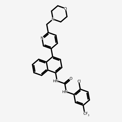 O=C(Nc1cc(C(F)(F)F)ccc1Cl)Nc1ccc(-c2ccc(CN3CCOCC3)nc2)c2ccccc12